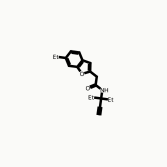 C#CC(CC)(CC)NC(=O)Cc1cc2ccc(CC)cc2o1